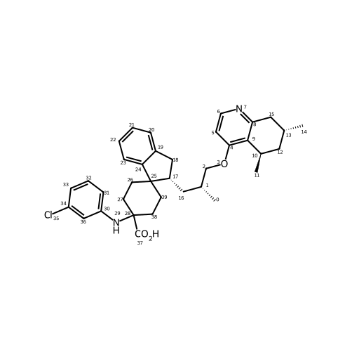 C[C@@H](COc1ccnc2c1[C@H](C)C[C@@H](C)C2)C[C@H]1Cc2ccccc2C12CCC(Nc1cccc(Cl)c1)(C(=O)O)CC2